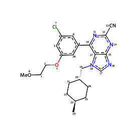 COCCOc1cc(Cl)cc(-c2nc(C#N)nc3ncn(C[C@H]4CC[C@H](C)CC4)c23)c1